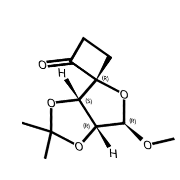 CO[C@@H]1O[C@]2(CCC2=O)[C@H]2OC(C)(C)O[C@@H]12